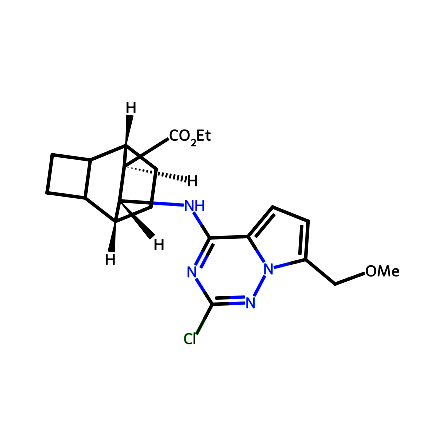 CCOC(=O)[C@H]1[C@H](Nc2nc(Cl)nn3c(COC)ccc23)[C@@H]2CC[C@H]1C1CCC12